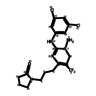 NN1CC(C(F)(F)F)=C(CCCN2CCCC2=O)N=C1Nc1cc(Cl)cc(Cl)c1